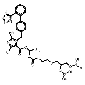 CCCCc1nc(Cl)c(C(=O)OC(C)OC(=O)OCCOCC(CON(O)O)ON(O)O)n1Cc1ccc(-c2ccccc2-c2nnn[nH]2)cc1